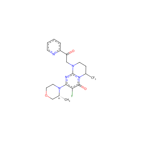 C[C@@H]1COCCN1c1nc2n(c(=O)c1F)C(C(F)(F)F)CCN2CC(=O)c1ccccn1